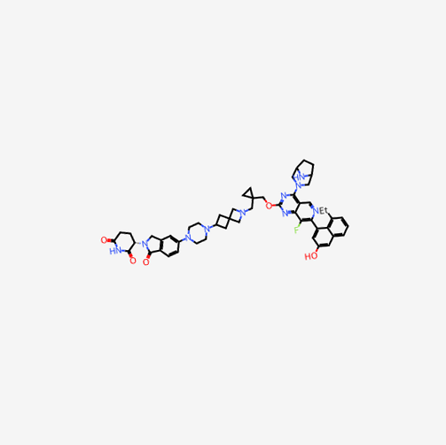 CCc1cccc2cc(O)cc(-c3ncc4c(N5CC6CCC(C5)N6)nc(OCC5(CN6CC7(CC(N8CCN(c9ccc%10c(c9)CN([C@H]9CCC(=O)NC9=O)C%10=O)CC8)C7)C6)CC5)nc4c3F)c12